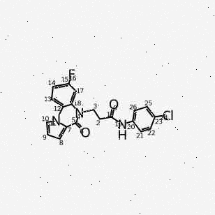 O=C(CCn1c(=O)c2cccn2c2ccc(F)cc21)Nc1ccc(Cl)cc1